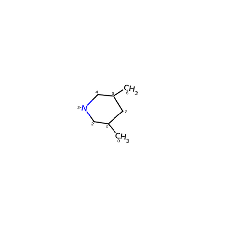 CC1C[N]CC(C)C1